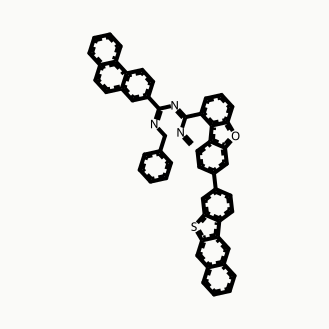 C=N/C(=N\C(=N/Cc1ccccc1)c1ccc2c(ccc3ccccc32)c1)c1cccc2oc3cc(-c4ccc5c(c4)sc4cc6ccccc6cc45)ccc3c12